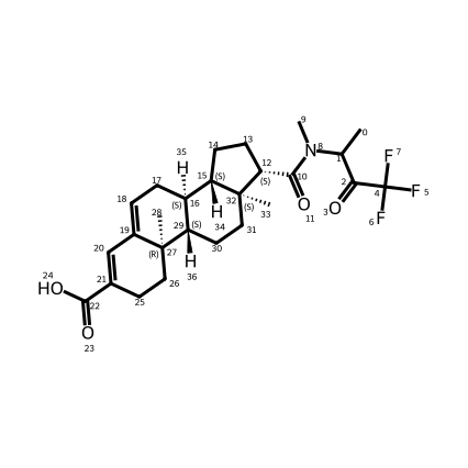 CC(C(=O)C(F)(F)F)N(C)C(=O)[C@H]1CC[C@H]2[C@@H]3CC=C4C=C(C(=O)O)CC[C@]4(C)[C@H]3CC[C@]12C